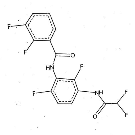 O=C(Nc1c(F)ccc(NC(=O)C(F)F)c1F)c1cccc(F)c1F